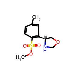 COS(=O)(=O)c1ccc(C)cc1[C@H]1COCN1